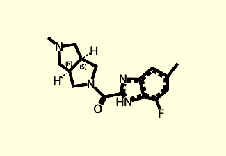 Cc1cc(F)c2[nH]c(C(=O)N3C[C@H]4CN(C)C[C@H]4C3)nc2c1